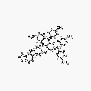 Cc1ccc(N(c2ccc(C)cc2)c2cc3c4c(c2)N(c2ccc(C)cc2)c2ccc(C)cc2B4c2cc4oc5c6c(ccc5c4cc2O3)CCC6)cc1